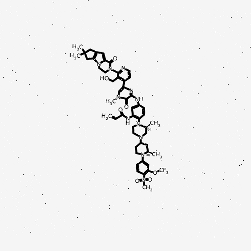 C=CC(=O)Nc1cc(Nc2nc(-c3ccnc(N4CCn5c(cc6c5CC(C)(C)C6)C4=O)c3CO)cn(C)c2=O)ccc1N1CCN(C2CCN(c3ccc(S(C)(=O)=O)c(OC(F)(F)F)c3)[C@H](C)C2)C[C@@H]1C